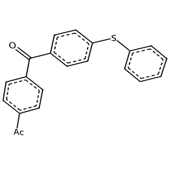 CC(=O)c1ccc(C(=O)c2ccc(Sc3ccccc3)cc2)cc1